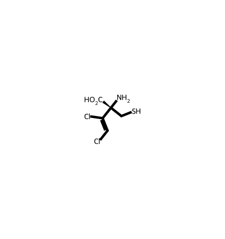 N[C@@](CS)(C(=O)O)C(Cl)=CCl